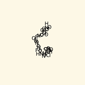 CS(=O)(=O)N1CCc2cccc(Nc3nc(Nc4ccc(N5CCC(N6CCN(C(=O)C7CCN(c8ccc9c(c8)C(=O)N(C8CCC(=O)NC8=O)C9=O)C7)CC6)CC5)c(F)c4)ncc3Cl)c21